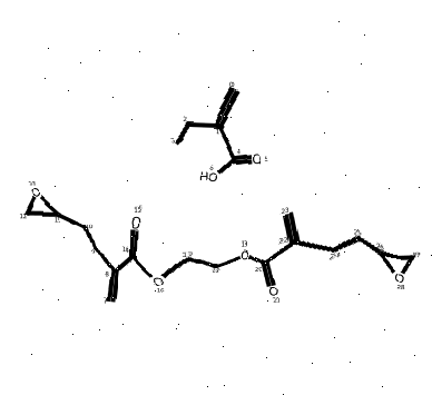 C=C(CC)C(=O)O.C=C(CCC1CO1)C(=O)OCCOC(=O)C(=C)CCC1CO1